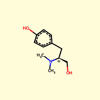 CN(C)[C@H](CO)Cc1ccc(O)cc1